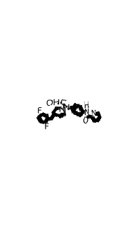 O=CN(c1ccc(NC(=O)c2ccccn2)cc1)N1CCC(=Cc2cc(F)ccc2F)CC1